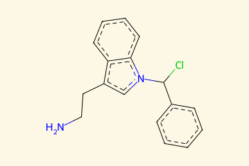 NCCc1cn(C(Cl)c2ccccc2)c2ccccc12